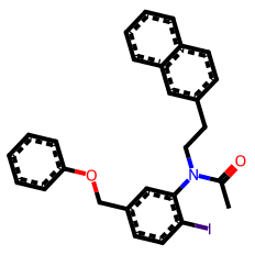 CC(=O)N(CCc1ccc2ccccc2c1)c1cc(COc2ccccc2)ccc1I